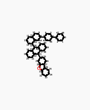 c1ccc(-c2ccc(-c3ccc4cccc(-c5c6ccccc6c(-c6ccc7c(c6)oc6ccccc67)c6ccccc56)c4c3)cc2)cc1